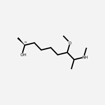 CNC(C)C(CCCC[C@H](C)O)OC